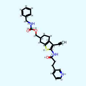 C#Cc1c(NC(=O)CCc2cccnc2)sc2c1CCC(COC(=O)NCc1ccccc1)C2